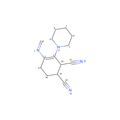 C=NC1=C(N2CCCCC2)C(C#N)C(C#N)CC1